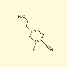 CCCc1ccc(C#N)c(F)c1